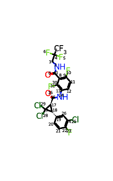 O=C(NCC(F)(F)C(F)(F)F)c1c(F)ccc(NC(=O)[C@H]2[C@H](c3ccc(F)c(Cl)c3)C2(Cl)Cl)c1F